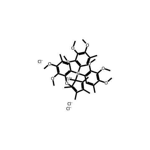 COc1c(C)cc([Si](c2cc(C)c(OC)c(OC)c2OC)(c2cc(C)c(OC)c(OC)c2OC)[C]2([Ti+3])C(C)=C(C)C(C)=C2C)c(OC)c1OC.[Cl-].[Cl-].[Cl-]